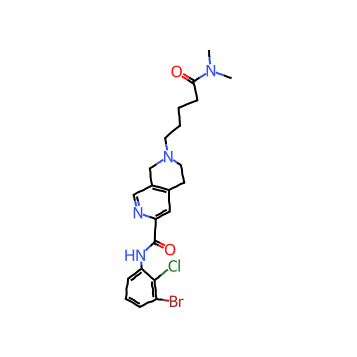 CN(C)C(=O)CCCCN1CCc2cc(C(=O)Nc3cccc(Br)c3Cl)ncc2C1